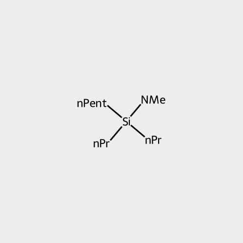 CCCCC[Si](CCC)(CCC)NC